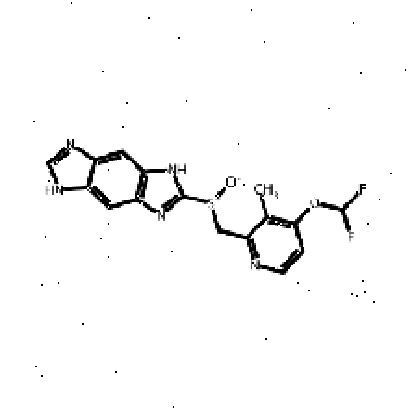 Cc1c(OC(F)F)ccnc1C[S+]([O-])c1nc2cc3[nH]cnc3cc2[nH]1